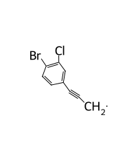 [CH2]C#Cc1ccc(Br)c(Cl)c1